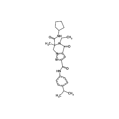 CCN1C(=O)c2cc(C(=O)Nc3ccc(C(C)C)cc3)nn2CC1(C)C(=O)NC1CCCC1